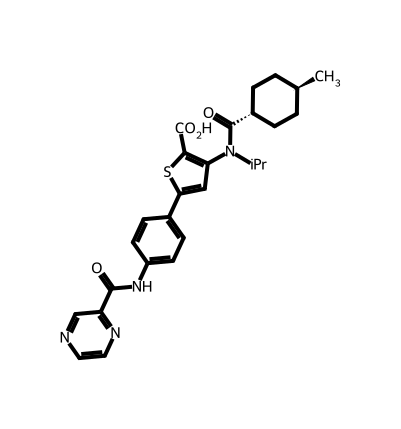 CC(C)N(c1cc(-c2ccc(NC(=O)c3cnccn3)cc2)sc1C(=O)O)C(=O)[C@H]1CC[C@H](C)CC1